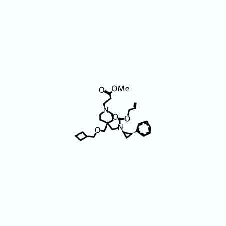 C=CCOC(=O)N(CC1(COCC2CCC2)CCN(CCC(=O)OC)CC1)[C@@H]1C[C@H]1c1ccccc1